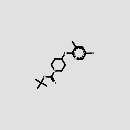 Cc1cc(Br)cnc1OC1CCN(C(=O)OC(C)(C)C)CC1